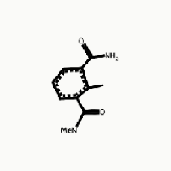 CNC(=O)c1cccc(C(N)=O)c1C